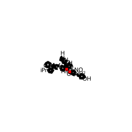 CC(C)c1ccccc1[C@@H]1COCCCN1C1CC2(CCN(c3ccc(C(=O)NS(=O)(=O)c4ccc(NCC5CCC(C)(O)CC5)c([N+](=O)[O-])c4)c(N4c5cc6cc[nH]c6nc5O[C@H]5COCC[C@@H]54)c3)[C@H](C)C2)C1